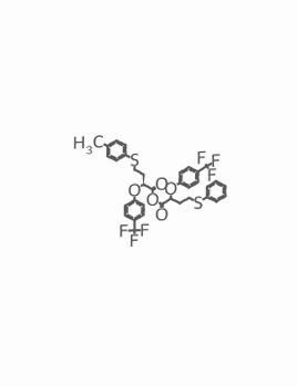 Cc1ccc(SCC[C@H](Oc2ccc(C(F)(F)F)cc2)C(=O)OC(=O)C(CCSc2ccccc2)Oc2ccc(C(F)(F)F)cc2)cc1